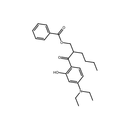 CCCCC(COC(=O)c1ccccc1)C(=O)c1ccc(N(CC)CC)cc1O